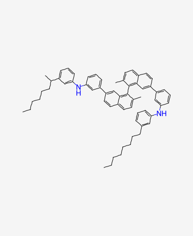 CCCCCCCCc1cccc(Nc2cccc(-c3ccc4ccc(C)c(-c5c(C)ccc6ccc(-c7cccc(Nc8cccc(C(C)CCCCCC)c8)c7)cc56)c4c3)c2)c1